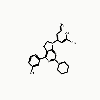 C=C/C=C(\C=C(C)C)N1CCc2c(-c3cccc(C#N)c3)nc(N3CCCCC3)nc21